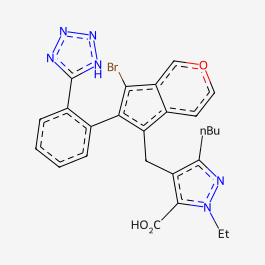 CCCCc1nn(CC)c(C(=O)O)c1Cc1c2ccocc-2c(Br)c1-c1ccccc1-c1nnn[nH]1